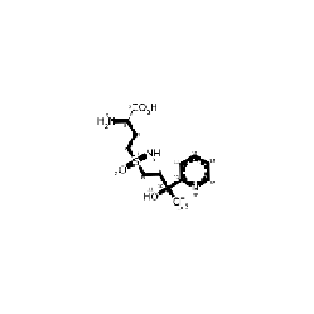 N=S(=O)(CC[C@H](N)C(=O)O)CCC(O)(c1ccccn1)C(F)(F)F